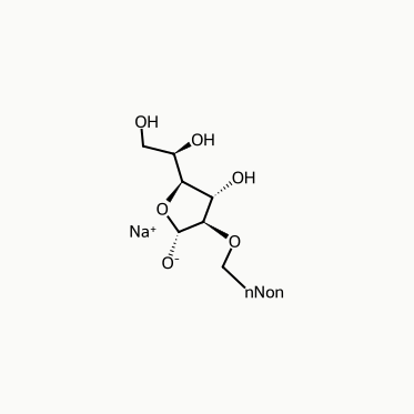 CCCCCCCCCCO[C@@H]1[C@@H](O)[C@H]([C@H](O)CO)O[C@H]1[O-].[Na+]